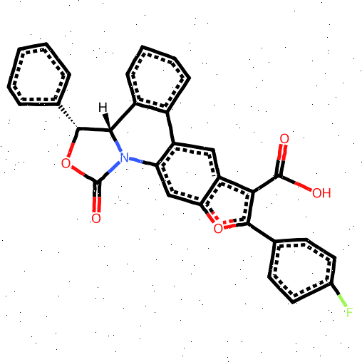 O=C(O)c1c(-c2ccc(F)cc2)oc2cc3c(cc12)-c1ccccc1[C@H]1[C@@H](c2ccccc2)OC(=O)N31